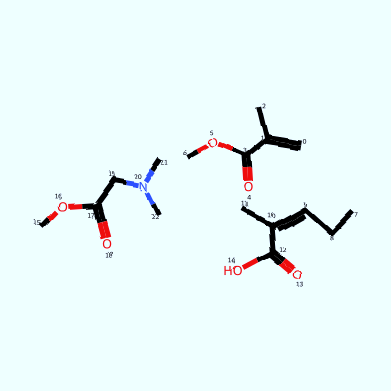 C=C(C)C(=O)OC.CCC=C(C)C(=O)O.COC(=O)CN(C)C